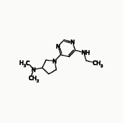 CCNc1cc(N2CCC(N(C)C)C2)ncn1